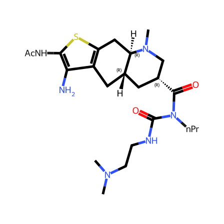 CCCN(C(=O)NCCN(C)C)C(=O)[C@@H]1C[C@@H]2Cc3c(sc(NC(C)=O)c3N)C[C@H]2N(C)C1